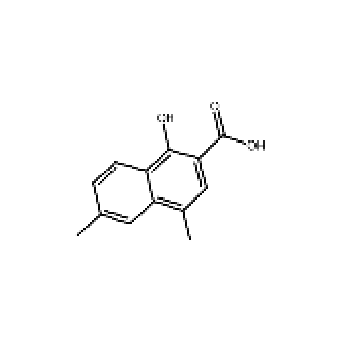 Cc1ccc2c(O)c(C(=O)O)cc(C)c2c1